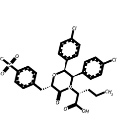 CCC[C@H](C(=O)O)N1C(=O)[C@H](Cc2ccc(S(C)(=O)=O)cc2)O[C@@H](c2ccc(Cl)cc2)[C@H]1c1ccc(Cl)cc1